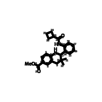 COC(=O)c1ccc2c(c1)CC(C)(C)C(c1ccccc1NC(=O)C1CCC1)N2